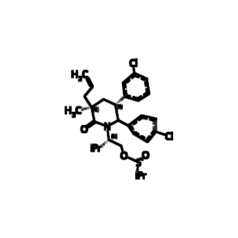 C=CC[C@@]1(C)C[C@H](c2cccc(Cl)c2)C(c2ccc(Cl)cc2)N([C@H](COS(=O)C(C)C)C(C)C)C1=O